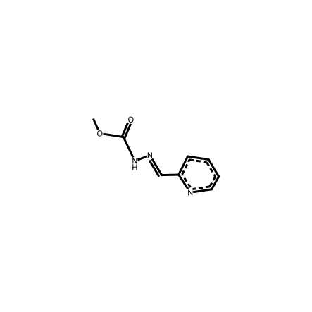 COC(=O)N/N=C/c1ccccn1